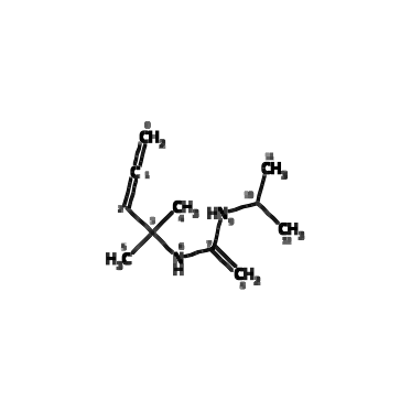 C=C=CC(C)(C)NC(=C)NC(C)C